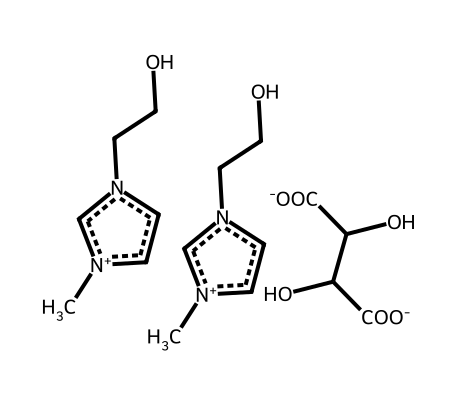 C[n+]1ccn(CCO)c1.C[n+]1ccn(CCO)c1.O=C([O-])C(O)C(O)C(=O)[O-]